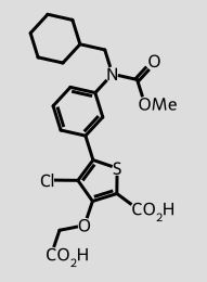 COC(=O)N(CC1CCCCC1)c1cccc(-c2sc(C(=O)O)c(OCC(=O)O)c2Cl)c1